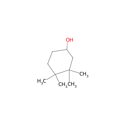 CC1(C)CCC(O)CC1(C)C